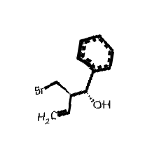 C=C[C@@H](CBr)[C@@H](O)c1ccccc1